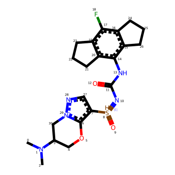 CN(C)C1COc2c(/[SH](=O)=N\C(=O)Nc3c4c(c(F)c5c3CCC5)CCC4)cnn2C1